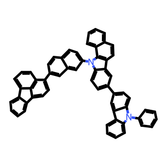 c1ccc(-n2c3ccccc3c3cc(-c4ccc5c(c4)c4ccc6ccccc6c4n5-c4ccc5ccc(-c6ccc7c8c(cccc68)-c6ccccc6-7)cc5c4)ccc32)cc1